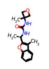 Cc1c([C@@H](C)NC(=O)NC2(C)COC2)oc2ccccc12